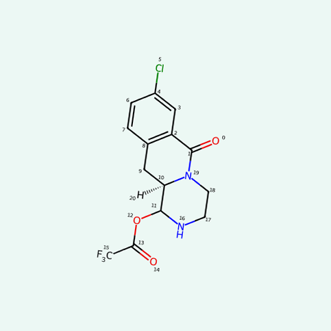 O=C1c2cc(Cl)ccc2C[C@@H]2C(OC(=O)C(F)(F)F)NCCN12